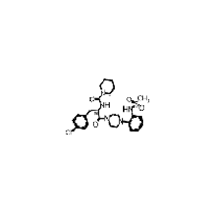 CS(=O)(=O)Nc1ccccc1N1CCN(C(=O)[C@@H](Cc2ccc(Cl)cc2)NC(=O)N2[CH]CCCC2)CC1